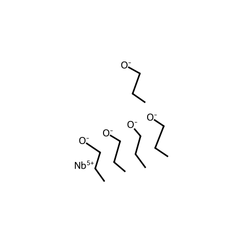 CCC[O-].CCC[O-].CCC[O-].CCC[O-].CCC[O-].[Nb+5]